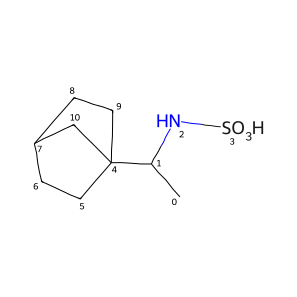 CC(NS(=O)(=O)O)C12CCC(CC1)C2